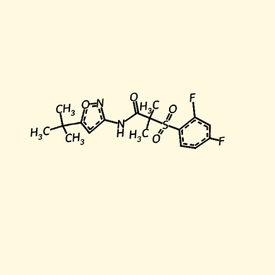 CC(C)(C)c1cc(NC(=O)C(C)(C)S(=O)(=O)c2ccc(F)cc2F)no1